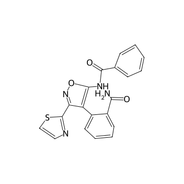 NC(=O)c1ccccc1-c1c(-c2nccs2)noc1NC(=O)c1ccccc1